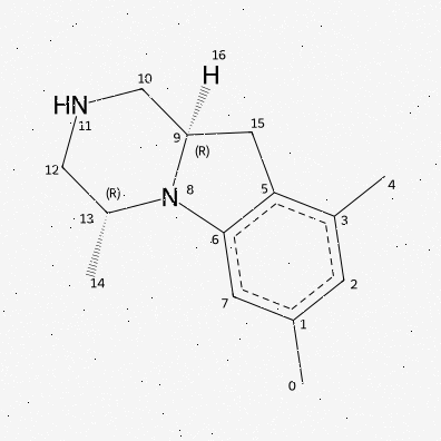 Cc1cc(C)c2c(c1)N1[C@@H](CNC[C@H]1C)C2